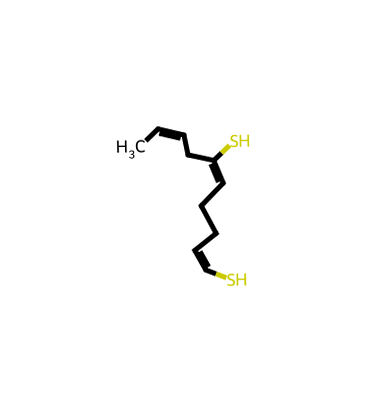 C/C=C\C/C(S)=C\CC/C=C\S